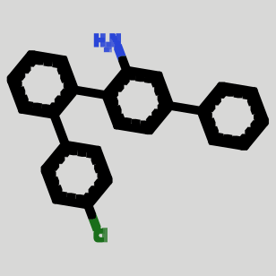 Nc1cc(-c2ccccc2)ccc1-c1ccccc1-c1ccc(Cl)cc1